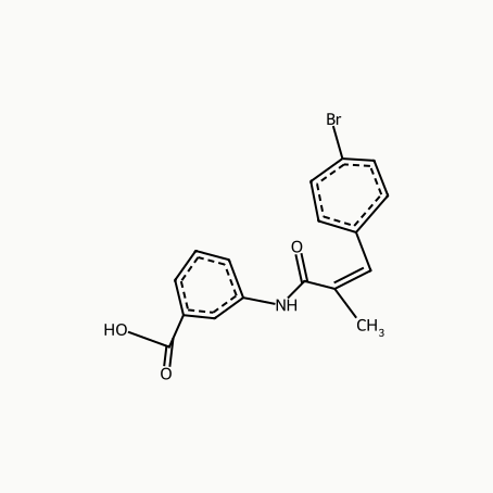 CC(=Cc1ccc(Br)cc1)C(=O)Nc1cccc(C(=O)O)c1